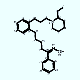 CCC1CCCCN1CCCc1ccccc1CCCCC(=NO)c1ccccc1